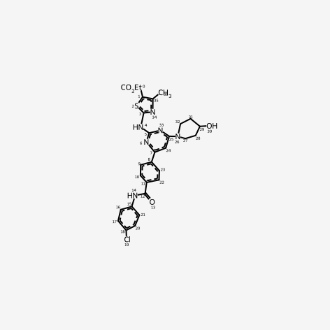 CCOC(=O)c1sc(Nc2nc(-c3ccc(C(=O)Nc4ccc(Cl)cc4)cc3)cc(N3CCC(O)CC3)n2)nc1C